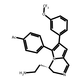 CC(=O)c1ccc(-c2c(-c3cccc(OC(F)(F)F)c3)cc3n2[C@@H](CCN)CN=C3)cc1